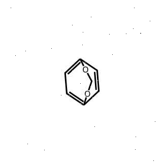 c1cc2ccc1OCO2